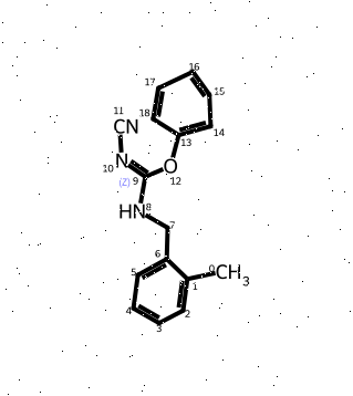 Cc1ccccc1CN/C(=N/C#N)Oc1ccccc1